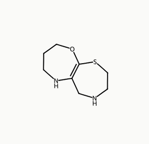 C1CNC2=C(OC1)SCCNC2